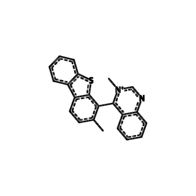 Cc1ccc2c(sc3ccccc32)c1-c1c2ccccc2nc[n+]1C